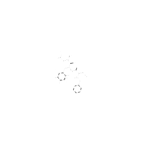 CCOC(CN(C(=O)C(Cc1c(F)c(F)c(F)c(F)c1F)NC(=O)C(CN)N(Cc1ccccc1)C(=O)O)C(C)C)OCC